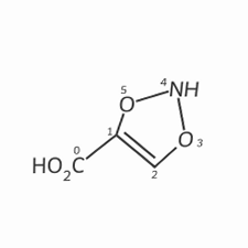 O=C(O)C1=CONO1